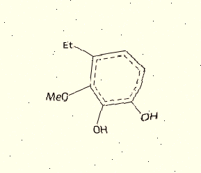 CCc1ccc(O)c(O)c1OC